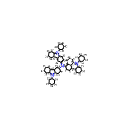 C1=C2c3c(ccc(N(c4ccc5c(c4)c4ccccc4n5-c4ccccc4)c4ccc5c(c4)c4ccccc4n5-c4ccccc4)c3CC1)-c1ccccc1N2c1ccccc1